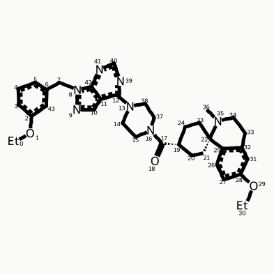 CCOc1cccc(Cn2ncc3c(N4CCN(C(=O)[C@H]5CC[C@@]6(CC5)c5ccc(OCC)cc5CCN6C)CC4)ncnc32)c1